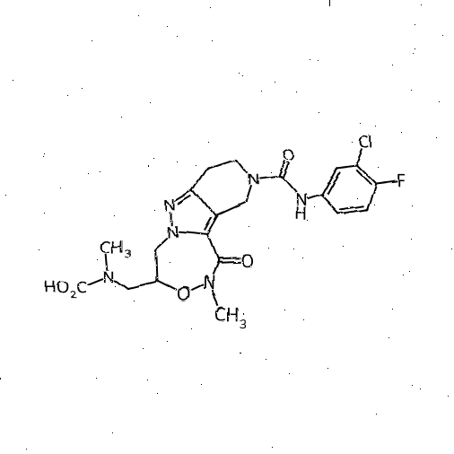 CN(CC1Cn2nc3c(c2C(=O)N(C)O1)CN(C(=O)Nc1ccc(F)c(Cl)c1)CC3)C(=O)O